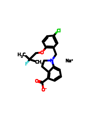 CC(C)(F)COc1ccc(Cl)cc1CN1CCc2c(C(=O)[O-])cccc21.[Na+]